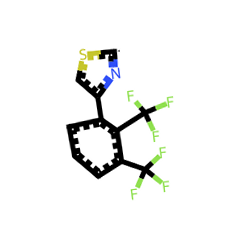 FC(F)(F)c1cccc(-c2cs[c]n2)c1C(F)(F)F